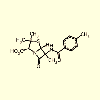 Cc1ccc(C(=O)NC2(C)C(=O)N3[C@@H](C(=O)O)C(C)(C)S[C@@H]32)cc1